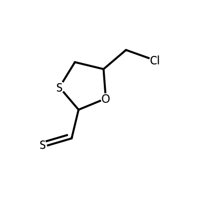 S=CC1OC(CCl)CS1